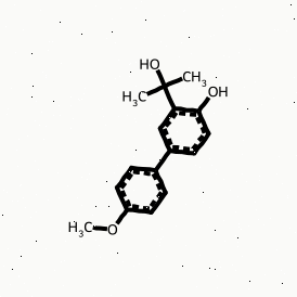 COc1ccc(-c2ccc(O)c(C(C)(C)O)c2)cc1